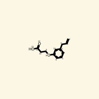 C=CCc1cccc(OCCC(=O)O)c1